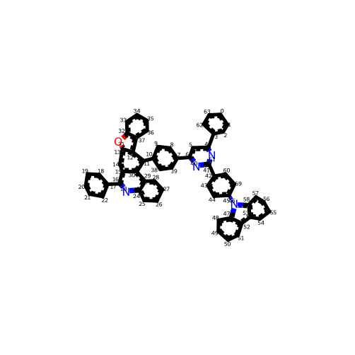 c1ccc(-c2cc(-c3ccc(-c4c5c(cc6c(-c7ccccc7)nc7ccccc7c46)oc4ccccc45)cc3)nc(-c3ccc(-n4c5ccccc5c5ccccc54)cc3)n2)cc1